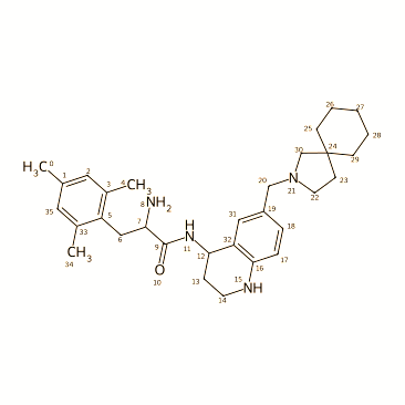 Cc1cc(C)c(CC(N)C(=O)NC2CCNc3ccc(CN4CCC5(CCCCC5)C4)cc32)c(C)c1